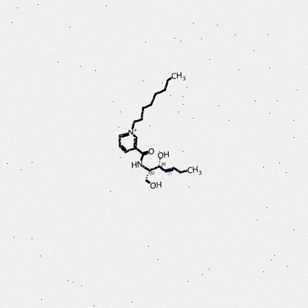 CC/C=C/[C@@H](O)[C@H](CO)NC(=O)c1ccc[n+](CCCCCCCC)c1